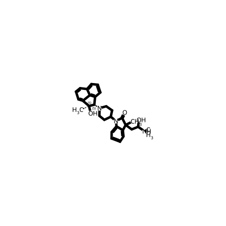 CNC(O)CC1(C)C(=O)N(C2CCN([C@H]3c4cccc5cccc(c45)[C@]3(C)O)CC2)c2ccccc21